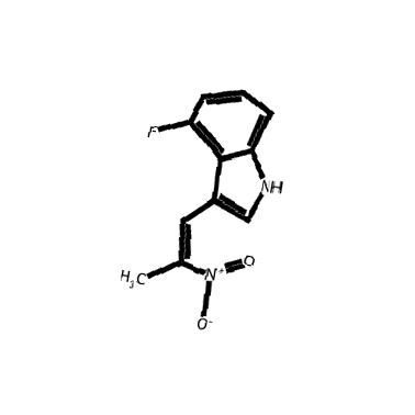 CC(=Cc1c[nH]c2cccc(F)c12)[N+](=O)[O-]